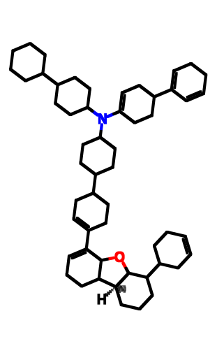 C1=CC(C2CC=C(N(C3CCC(C4CC=C(C5=CCCC6C5OC5C(C7CC=CCC7)CCC[C@@H]65)CC4)CC3)C3CCC(C4CCCCC4)CC3)CC2)=CCC1